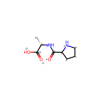 C[C@H](NC(=O)C1CCCN1)C(=O)O